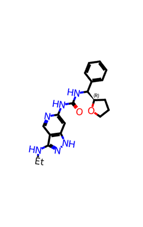 CCNc1n[nH]c2cc(NC(=O)NC(c3ccccc3)[C@H]3CCCO3)ncc12